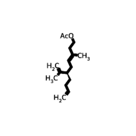 C=CCC[C@H](C/C=C(\C)CCOC(C)=O)C(=C)C